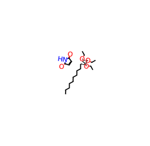 CCCCCCCCCC[Si](OCC)(OCC)OCC.O=C1C=CC(=O)N1